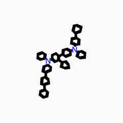 C1=CC(N(C2=CC(c3ccccc3)=C(c3ccc(N(c4ccccc4)c4ccc(-c5ccccc5)cc4)cc3)CC2)c2ccccc2)CC=C1c1ccc(-c2ccccc2)cc1